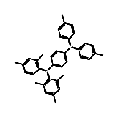 Cc1ccc(N(c2ccc(C)cc2)c2ccc(N(c3ccc(C)cc3C)c3c(C)cc(C)cc3C)cc2)cc1